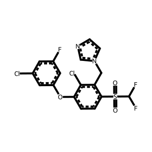 O=S(=O)(c1ccc(Oc2cc(F)cc(Cl)c2)c(Cl)c1Cn1ccnc1)C(F)F